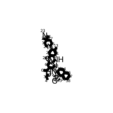 C=C(OCC)c1cnc(Nc2cc(C)c(N3CCC4(CC3)CN(C)C4)cc2OC)nc1Nc1ccc2ccccc2c1P(C)(C)=O